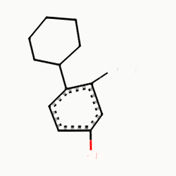 O=C(O)c1cc(O)ccc1C1CCCCC1